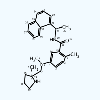 Cc1ccc(N(C)C[C@]2(C)CCCN2)cc1C(=O)N[C@H](C)c1cccc2ccccc12